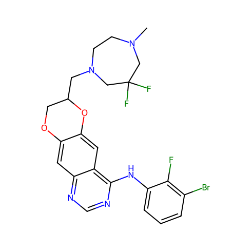 CN1CCN(CC2COc3cc4ncnc(Nc5cccc(Br)c5F)c4cc3O2)CC(F)(F)C1